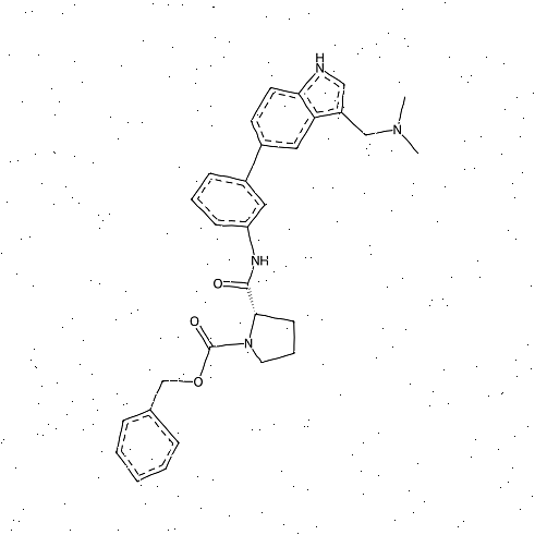 CN(C)Cc1c[nH]c2ccc(-c3cccc(NC(=O)[C@@H]4CCCN4C(=O)OCc4ccccc4)c3)cc12